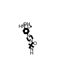 COc1cc(N2CCN(C(=O)C3(C)CNC3)CC2)ccc1NO